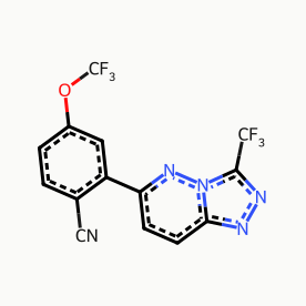 N#Cc1ccc(OC(F)(F)F)cc1-c1ccc2nnc(C(F)(F)F)n2n1